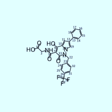 O=C(O)CNC(=O)c1c(O)c2cc(-c3ccccc3)cn2n(Cc2ccc(C(F)(F)F)cc2)c1=O